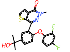 Cn1nc(-c2cc(C(C)(C)O)ccc2Oc2ccc(F)cc2F)c2sccc2c1=O